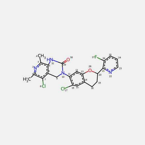 Cc1nc(C)c2c(c1Cl)CN(c1cc3c(cc1Cl)CCC(c1ncccc1F)O3)C(=O)N2